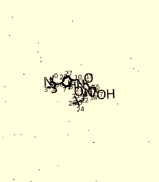 Cc1ncsc1-c1ccc(CNC(=O)C2C[C@@H](O)CN2C(=O)CC(C)(C)C)cc1